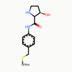 CCCCCCSCc1ccc(NC(=O)C2NCC[C@H]2O)cc1